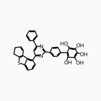 Oc1c(O)c(O)c(-c2ccc(-c3nc(-c4ccccc4)cc(-c4cccc5sc6c(c45)C=CCC6)n3)cc2)c(O)c1O